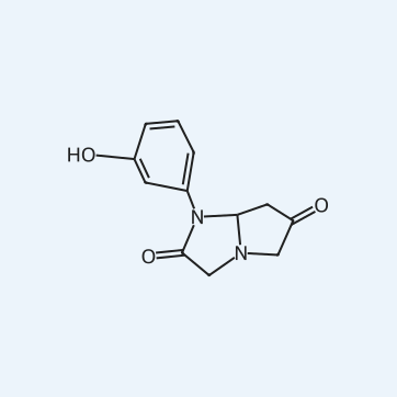 O=C1CC2N(C1)CC(=O)N2c1cccc(O)c1